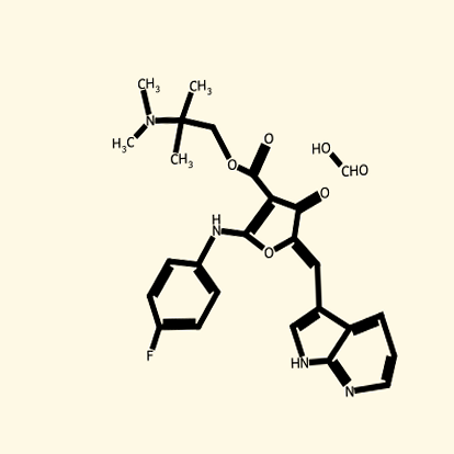 CN(C)C(C)(C)COC(=O)C1=C(Nc2ccc(F)cc2)OC(=Cc2c[nH]c3ncccc23)C1=O.O=CO